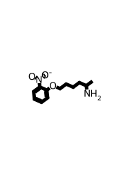 CC(N)CCCCOc1ccccc1[N+](=O)[O-]